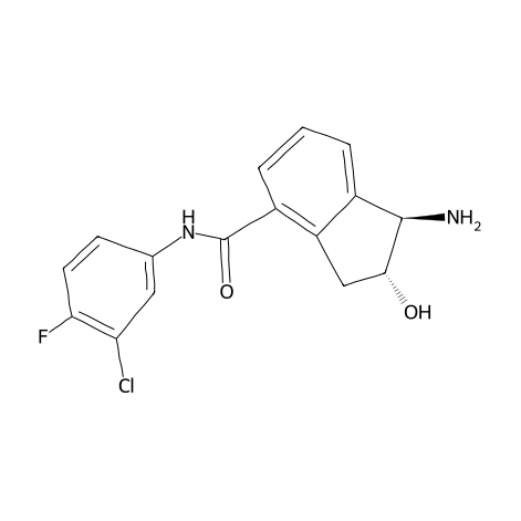 N[C@@H]1c2cccc(C(=O)Nc3ccc(F)c(Cl)c3)c2C[C@H]1O